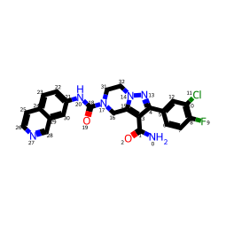 NC(=O)c1c(-c2ccc(F)c(Cl)c2)nn2c1CN(C(=O)Nc1ccc3ccncc3c1)CC2